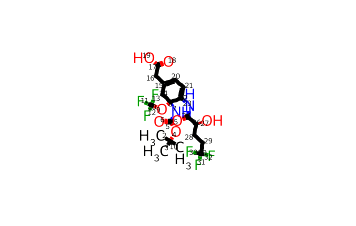 CC(C)(C)OC(=O)N[C@@]1(OC(F)(F)F)CC(CC(=O)O)=CC=C1NC(=O)[C@@H](O)CCC(F)(F)F